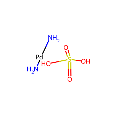 O=S(=O)(O)O.[NH2][Pd][NH2]